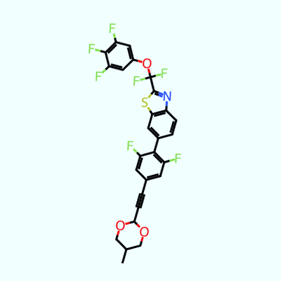 CC1COC(C#Cc2cc(F)c(-c3ccc4nc(C(F)(F)Oc5cc(F)c(F)c(F)c5)sc4c3)c(F)c2)OC1